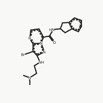 CN(C)CCNc1nn2c(C(=O)NC3Cc4ccccc4C3)ccnc2c1Br